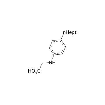 CCCCCCCc1ccc(NCC(=O)O)cc1